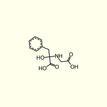 O=C(O)CNC(O)(Cc1ccccc1)C(=O)O